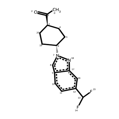 CC(=O)[C@H]1CC[C@H](n2cc3ccc(C(F)F)cc3n2)CC1